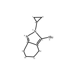 CC(C)(C)c1c2c(nn1C1CC1)CCCC2